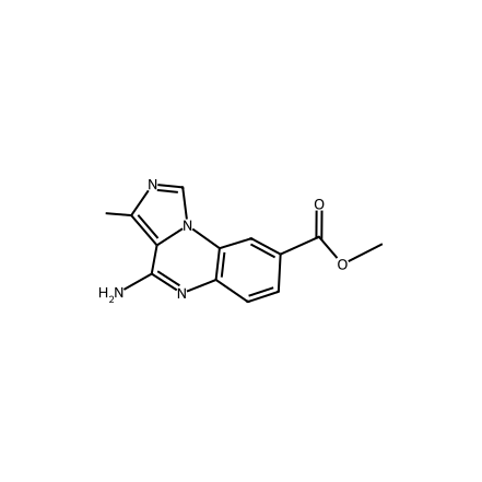 COC(=O)c1ccc2nc(N)c3c(C)ncn3c2c1